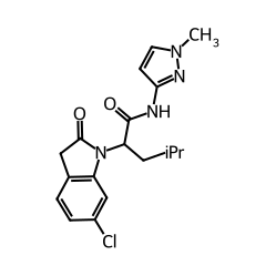 CC(C)CC(C(=O)Nc1ccn(C)n1)N1C(=O)Cc2ccc(Cl)cc21